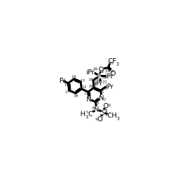 CC(C)c1nc(N(C)S(C)(=O)=O)nc(-c2ccc(F)cc2)c1CP(OC(=O)C(F)(F)F)(C(C)C)(C(C)C)C(C)C